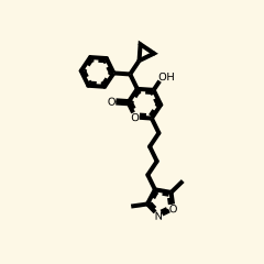 Cc1noc(C)c1CCCCc1cc(O)c(C(c2ccccc2)C2CC2)c(=O)o1